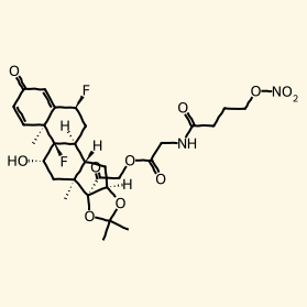 CC1(C)O[C@@H]2C[C@H]3[C@@H]4C[C@H](F)C5=CC(=O)C=C[C@]5(C)[C@@]4(F)[C@@H](O)C[C@]3(C)[C@]2(C(=O)COC(=O)CNC(=O)CCCO[N+](=O)[O-])O1